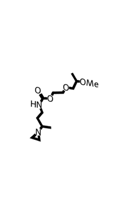 COC(C)COCCOC(=O)NCCC(C)N1CC1